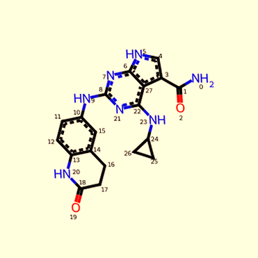 NC(=O)c1c[nH]c2nc(Nc3ccc4c(c3)CCC(=O)N4)nc(NC3CC3)c12